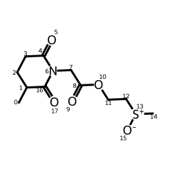 CC1CCC(=O)N(CC(=O)OCC[S+](C)[O-])C1=O